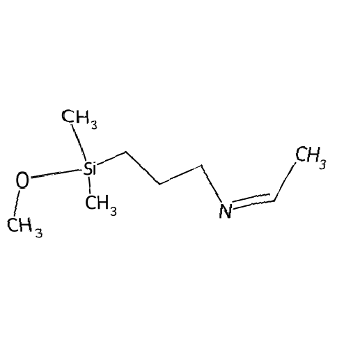 C/C=N\CCC[Si](C)(C)OC